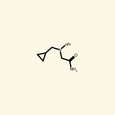 CCCN(CC(N)=O)CC1CC1